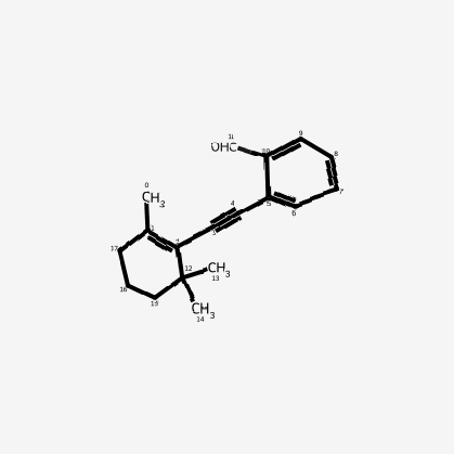 CC1=C(C#Cc2ccccc2C=O)C(C)(C)CCC1